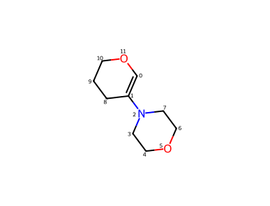 C1=C(N2CCOCC2)CCCO1